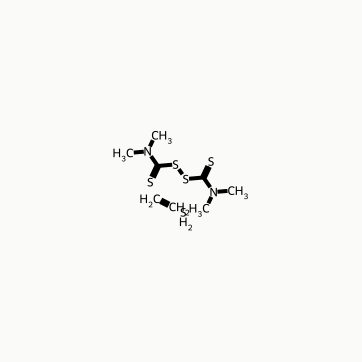 C=C.CN(C)C(=S)SSC(=S)N(C)C.S